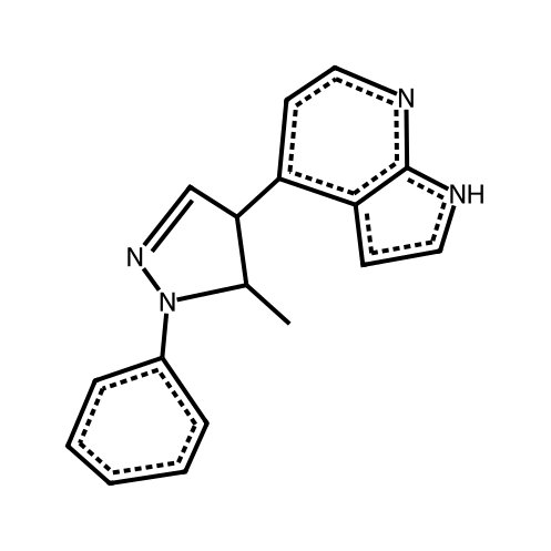 CC1C(c2ccnc3[nH]ccc23)C=NN1c1ccccc1